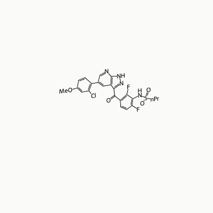 CCCS(=O)(=O)Nc1c(F)ccc(C(=O)c2n[nH]c3ncc(-c4ccc(OC)cc4Cl)cc23)c1F